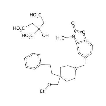 CCOCC1(CCc2ccccc2)CCN(Cc2ccc3oc(=O)n(C)c3c2)CC1.O=C(O)CC(O)(CC(=O)O)C(=O)O